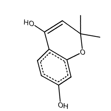 CC1(C)C=C(O)c2ccc(O)cc2O1